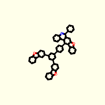 c1ccc(-c2nc3ccccc3c3c(-c4ccc(-c5cc(-c6ccc7oc8ccccc8c7c6)cc(-c6ccc7oc8ccccc8c7c6)c5)cc4)c4c(cc23)oc2ccccc24)cc1